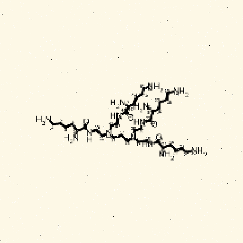 NCCCC[C@H](N)C(=O)NCCN(CCCN(CCNC(=O)[C@@H](N)CCCCN)CCNC(=O)[C@@H](N)CCCCN)CCNC(=O)[C@@H](N)CCCCN